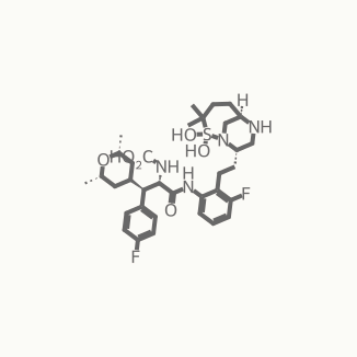 C[C@@H]1CC([C@H](c2ccc(F)cc2)[C@H](NC(=O)O)C(=O)Nc2cccc(F)c2CC[C@H]2CN[C@@H]3CCC(C)(C)S(O)(O)N2C3)C[C@H](C)O1